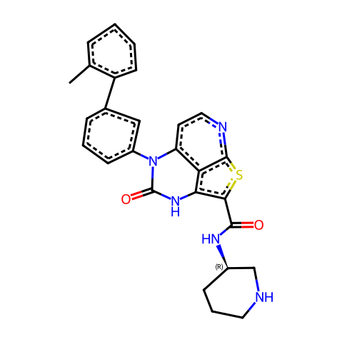 Cc1ccccc1-c1cccc(N2C(=O)Nc3c(C(=O)N[C@@H]4CCCNC4)sc4nccc2c34)c1